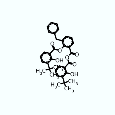 CC(C)(C)c1cccc(C(=O)OC(=O)c2cccc(Cc3ccccc3)c2OC(=O)c2cccc(C(C)(C)C)c2O)c1O